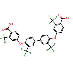 O=C(O)c1ccc(Oc2ccc(-c3ccc(Oc4ccc(C(=O)O)c(C(F)(F)F)c4)c(C(F)(F)F)c3)cc2C(F)(F)F)cc1C(F)(F)F